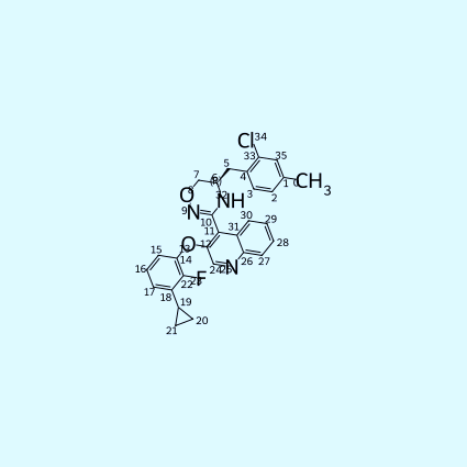 Cc1ccc(C[C@@H]2CON=C(c3c(Oc4cccc(C5CC5)c4F)cnc4ccccc34)N2)c(Cl)c1